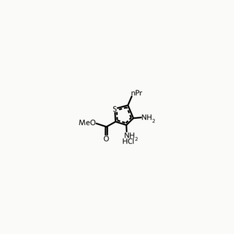 CCCc1sc(C(=O)OC)c(N)c1N.Cl